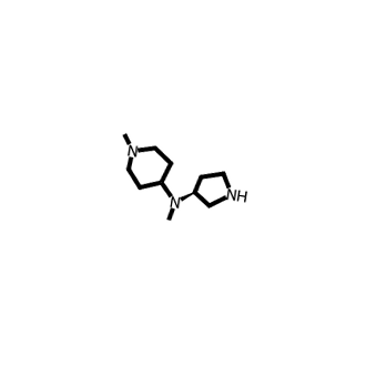 CN1CCC(N(C)[C@H]2CCNC2)CC1